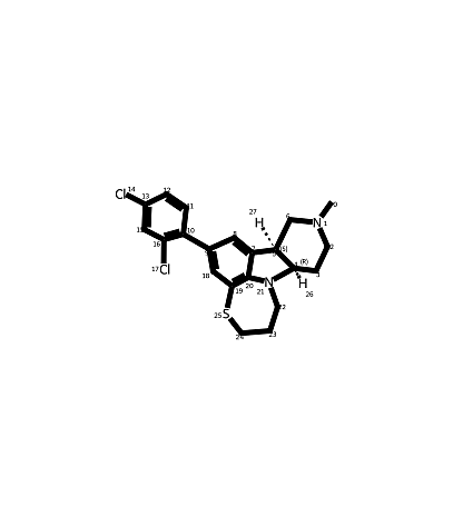 CN1CC[C@@H]2[C@H](C1)c1cc(-c3ccc(Cl)cc3Cl)cc3c1N2CCCS3